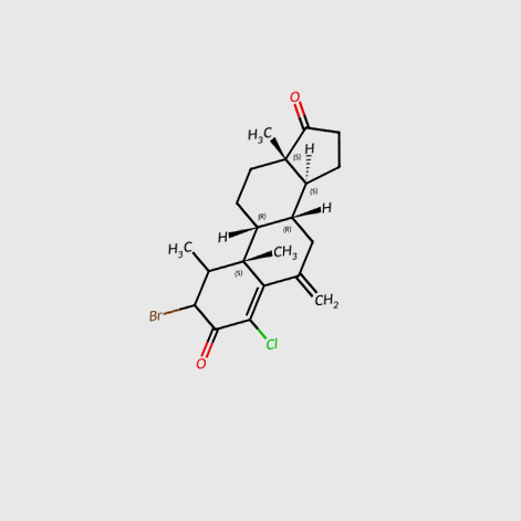 C=C1C[C@@H]2[C@@H](CC[C@]3(C)C(=O)CC[C@@H]23)[C@]2(C)C1=C(Cl)C(=O)C(Br)C2C